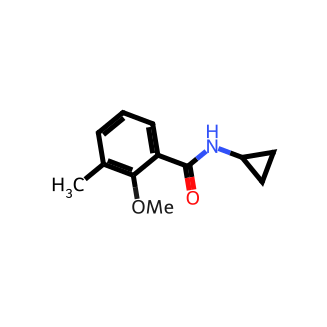 COc1c(C)cccc1C(=O)NC1CC1